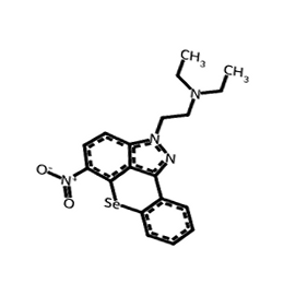 CCN(CC)CCn1nc2c3c(c([N+](=O)[O-])ccc31)[Se]c1ccccc1-2